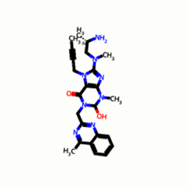 CC#CCn1c(N(C)C[C@H](C)N)nc2c1C(=O)N(Cc1nc(C)c3ccccc3n1)C(O)N2C